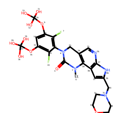 CCN1C(=O)N(c2c(F)c(OC(O)(O)O)cc(OC(O)(O)O)c2F)Cc2cnc3[nH]c(CN4CCOCC4)cc3c21